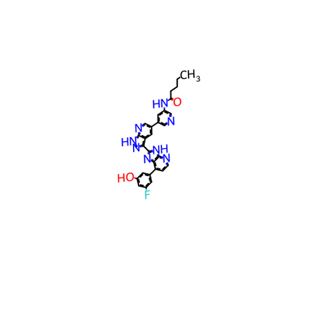 CCCCC(=O)Nc1cncc(-c2cnc3[nH]nc(-c4nc5c(-c6cc(O)cc(F)c6)ccnc5[nH]4)c3c2)c1